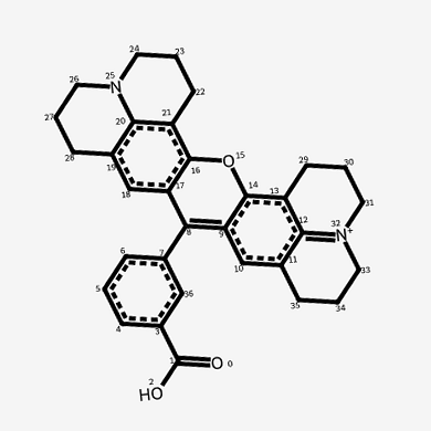 O=C(O)c1cccc(C2=c3cc4c5c(c3Oc3c2cc2c6c3CCCN6CCC2)CCC[N+]=5CCC4)c1